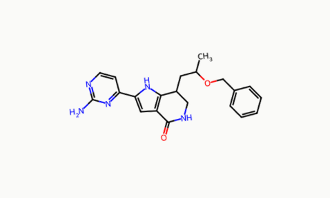 CC(CC1CNC(=O)c2cc(-c3ccnc(N)n3)[nH]c21)OCc1ccccc1